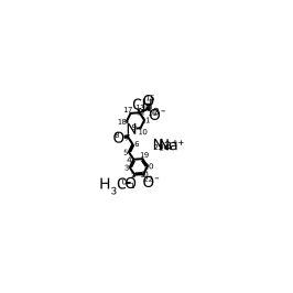 COc1cc(/C=C/C(=O)N2CCC(C)(C(=O)[O-])CC2)ccc1[O-].[Na+].[Na+]